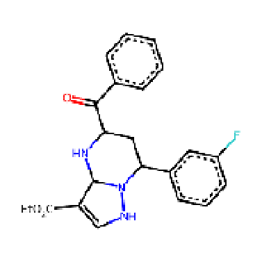 CCOC(=O)C1=CNN2C1NC(C(=O)c1ccccc1)CC2c1cccc(F)c1